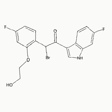 O=C(c1c[nH]c2cc(F)ccc12)C(Br)c1ccc(F)cc1OCCO